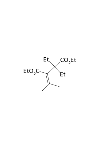 CCOC(=O)C(=C(C)C)C(CC)(CC)C(=O)OCC